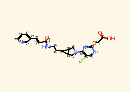 O=C(O)COc1ncc(F)c(N2CC3C(CCNC(=O)/C=C/c4cccnc4)C3C2)n1